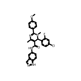 COc1ccc(C2=NC(C)=C(C(=O)Nc3ccc4[nH]ncc4c3)C(c3ccc(Cl)cc3F)N2C)cc1